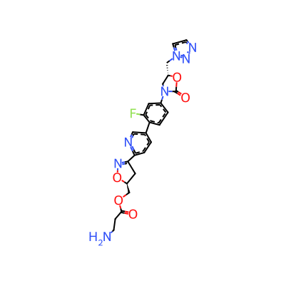 NCCC(=O)OC[C@@H]1CC(c2ccc(-c3ccc(N4C[C@H](Cn5ccnn5)OC4=O)cc3F)cn2)=NO1